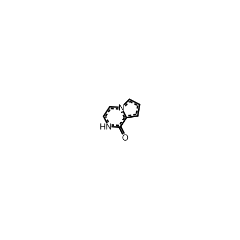 O=c1[nH]ccn2cccc12